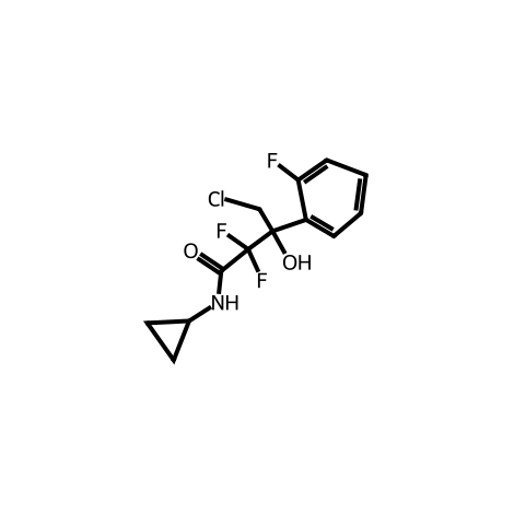 O=C(NC1CC1)C(F)(F)C(O)(CCl)c1ccccc1F